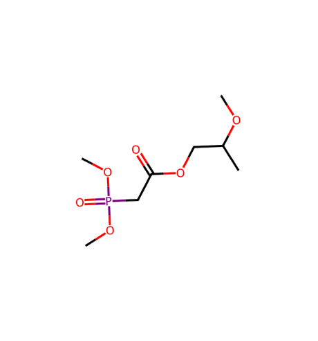 COC(C)COC(=O)CP(=O)(OC)OC